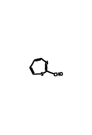 O=CC1=NC=CC=CS1